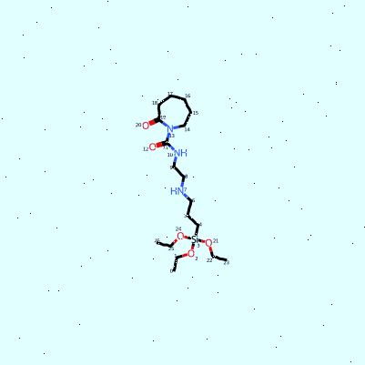 CCO[Si](CCCNCCNC(=O)N1CCCCCC1=O)(OCC)OCC